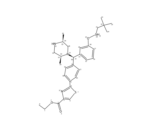 CCOC(=O)c1csc(-c2ccc([C@H](c3cccc(O[SiH2]CC(C)(C)C)c3)N3C[C@H](C)NC[C@@H]3C)cc2)n1